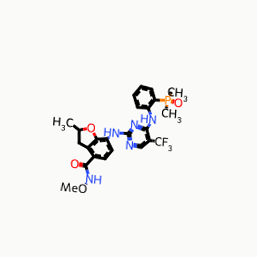 CONC(=O)c1ccc(Nc2ncc(C(F)(F)F)c(Nc3ccccc3P(C)(C)=O)n2)c2c1CC(C)O2